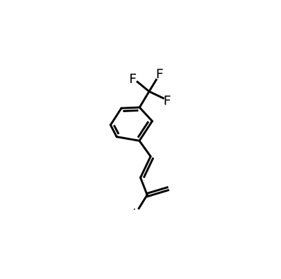 [CH2]C(=C)C=Cc1cccc(C(F)(F)F)c1